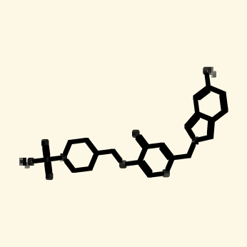 CS(=O)(=O)N1CCC(COc2coc(Cn3cc4ccc(C(F)(F)F)cc4c3)cc2=O)CC1